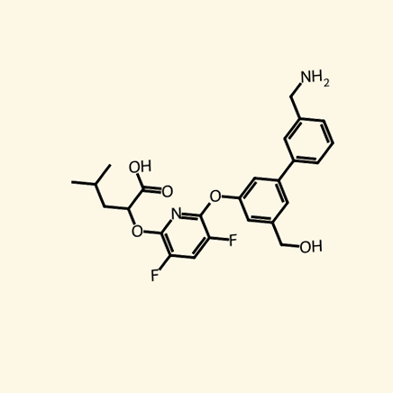 CC(C)CC(Oc1nc(Oc2cc(CO)cc(-c3cccc(CN)c3)c2)c(F)cc1F)C(=O)O